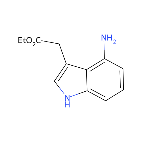 CCOC(=O)Cc1c[nH]c2cccc(N)c12